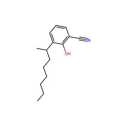 CCCCCCC(C)c1cccc(C#N)c1O